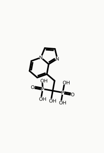 O=P(O)(O)C(O)(Cc1cccn2ccnc12)P(=O)(O)O